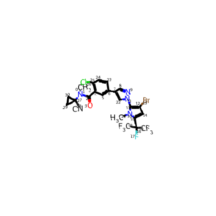 CN(C(=O)c1cc(-c2cnn(-c3c(Br)cc(C(F)(C(F)(F)F)C(F)(F)F)n3C)c2)ccc1Cl)C1(C#N)CC1